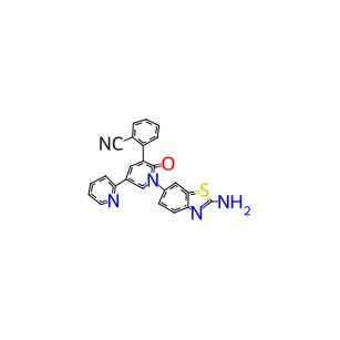 N#Cc1ccccc1-c1cc(-c2ccccn2)cn(-c2ccc3nc(N)sc3c2)c1=O